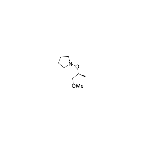 COC[C@H](C)ON1CCCC1